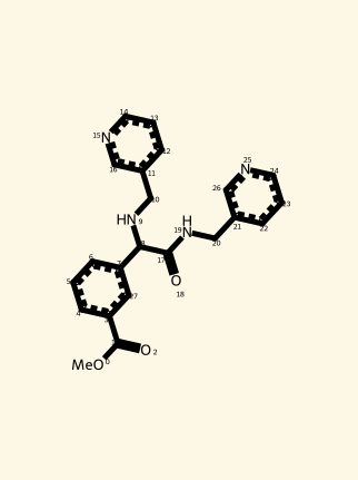 COC(=O)c1cccc(C(NCc2cccnc2)C(=O)NCc2cccnc2)c1